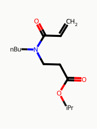 C=CC(=O)N(CCCC)CCC(=O)OC(C)C